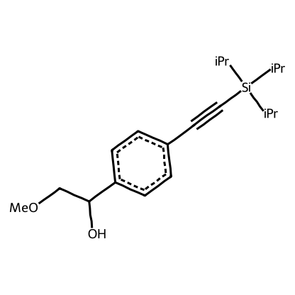 COCC(O)c1ccc(C#C[Si](C(C)C)(C(C)C)C(C)C)cc1